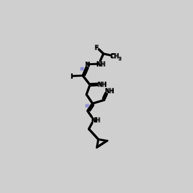 CC(F)N/N=C(/I)C(=N)C/C(C=N)=C/NCC1CC1